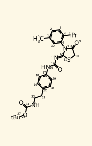 Cc1ccc(C(C)C)c(N2C(=O)CS/C2=N\C(=O)Nc2ccc(CCNC(=O)OC(C)(C)C)cc2)c1